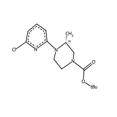 C[C@@H]1CN(C(=O)OC(C)(C)C)CCN1c1cccc(Cl)n1